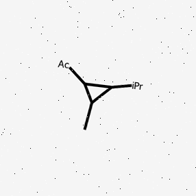 CC(=O)C1C(C)C1C(C)C